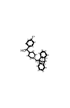 OC(c1ccc(F)cc1)C1CCN(CC23CC(c4ccccc42)c2ccccc23)CC1